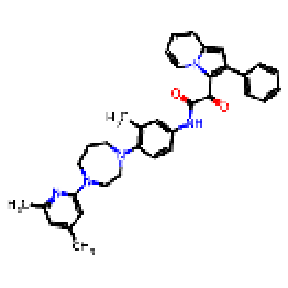 Cc1cc(C)nc(N2CCCN(c3ccc(NC(=O)C(=O)c4c(-c5ccccc5)cc5ccccn45)cc3C)CC2)c1